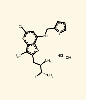 Cc1c(C[C@@H](N)[C@H](C)F)sc2c(NCc3cccs3)cc(Cl)nc12.Cl.Cl